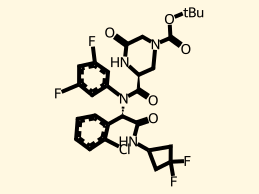 CC(C)(C)OC(=O)N1CC(=O)N[C@H](C(=O)N(c2cc(F)cc(F)c2)[C@H](C(=O)NC2CC(F)(F)C2)c2ccccc2Cl)C1